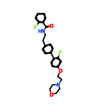 O=C(NCCc1ccc(-c2ccc(OCCN3CCOCC3)cc2F)cc1)c1ccccc1F